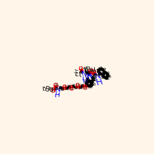 C[CH]C(=O)N[C@H](C(=O)N1Cc2cc(OCCOCCOCCOCCNC(=O)OC(C)(C)C)ccc2C[C@H]1C(=O)N[C@@H]1CCCc2ccccc21)C(C)(C)C